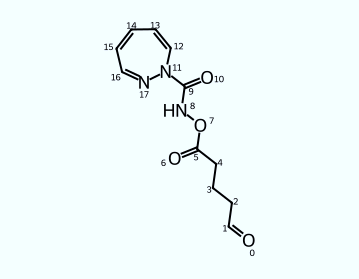 O=CCCCC(=O)ONC(=O)N1C=CC=CC=N1